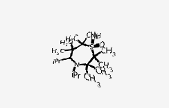 CC(C)C1N(C(C)C)C(C)(C)C(C)(C)S(=N)(=O)C(C)(C)C1(C)C